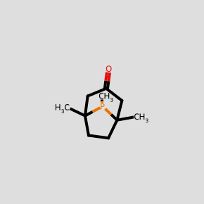 CP1C2(C)CCC1(C)CC(=O)C2